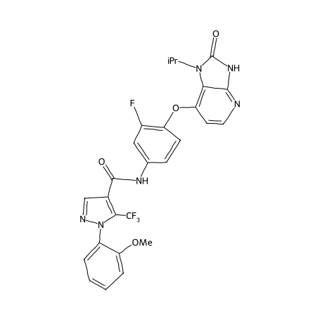 COc1ccccc1-n1ncc(C(=O)Nc2ccc(Oc3ccnc4[nH]c(=O)n(C(C)C)c34)c(F)c2)c1C(F)(F)F